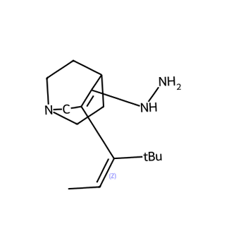 C/C=C(\C1=C(NN)C2CCN(CC2)C1)C(C)(C)C